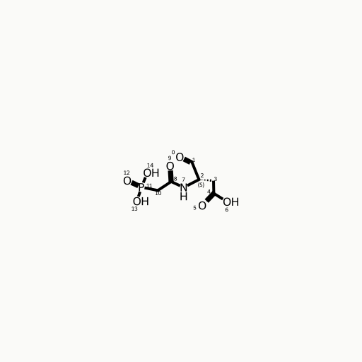 O=C[C@H](CC(=O)O)NC(=O)CP(=O)(O)O